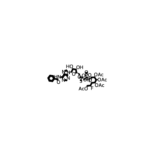 CC(=O)OC[C@H](F)[C@H]1O[C@@H](OP(=O)(O)OP(O)(=S)OC[C@H]2O[C@@H](n3cnc4c(NC(=O)c5ccccc5)ncnc43)[C@H](O)[C@@H]2O)[C@@H](OC(C)=O)[C@@H](OC(C)=O)[C@@H]1OC(C)=O